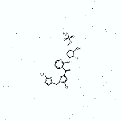 NS(=O)(=O)OC[C@H]1C[C@@H](Nc2ncncc2C(=O)c2cc(Cl)n(Cc3ccc(C(F)(F)F)o3)c2)[C@@H](F)[C@@H]1O